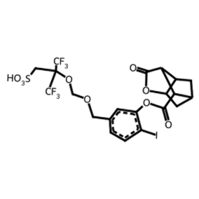 O=C(Oc1cc(COCOC(CS(=O)(=O)O)(C(F)(F)F)C(F)(F)F)ccc1I)C1C2CC3OC(=O)C1C3C2